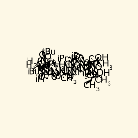 CC=CC[C@@H](C)[C@@H](O)[C@@H](C(=O)N[C@H](C(=O)O)C(C)O)N(C)C(=O)[C@H](C(C)C)N(C)C(=O)[C@H](CC(C)C)NC(=O)[C@H](CC(C)C)N(C)C(=O)[C@@H](C)NC(=O)[C@H](C)NC(=O)[C@H](CC(C)C)N(C)C(=O)[C@H](CC(C)C)NC(=O)[C@H](C(C)CC)N(C)C(=O)[C@@H](CC)N(C)C(=O)OC(C)(C)C